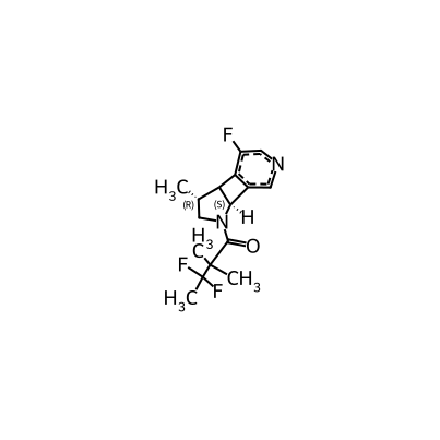 C[C@H]1CN(C(=O)C(C)(C)C(C)(F)F)[C@@H]2c3cncc(F)c3C21